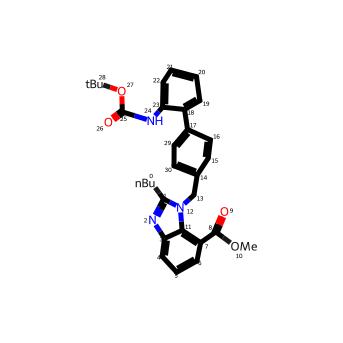 CCCCc1nc2cccc(C(=O)OC)c2n1Cc1ccc(-c2ccccc2NC(=O)OC(C)(C)C)cc1